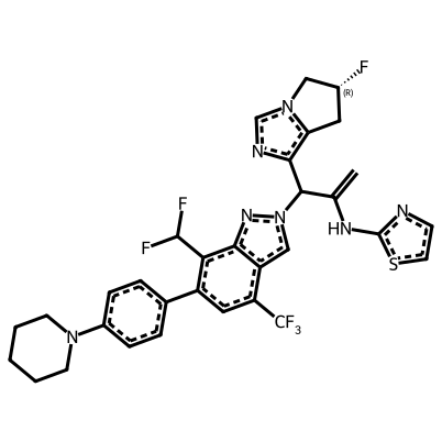 C=C(Nc1nccs1)C(c1ncn2c1C[C@@H](F)C2)n1cc2c(C(F)(F)F)cc(-c3ccc(N4CCCCC4)cc3)c(C(F)F)c2n1